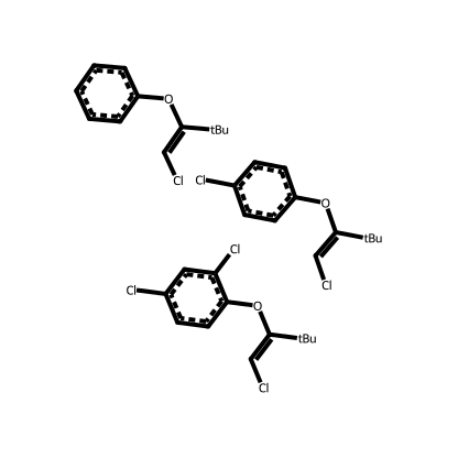 CC(C)(C)C(=CCl)Oc1ccc(Cl)cc1.CC(C)(C)C(=CCl)Oc1ccc(Cl)cc1Cl.CC(C)(C)C(=CCl)Oc1ccccc1